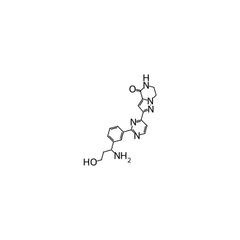 NC(CCO)c1cccc(-c2nccc(-c3cc4n(n3)CCNC4=O)n2)c1